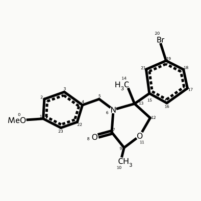 COc1ccc(CN2C(=O)C(C)OCC2(C)c2cccc(Br)c2)cc1